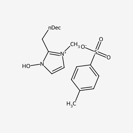 CCCCCCCCCCCc1n(O)cc[n+]1C.Cc1ccc(S(=O)(=O)[O-])cc1